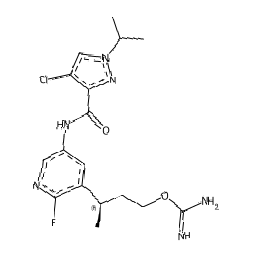 CC(C)n1cc(Cl)c(C(=O)Nc2cnc(F)c([C@H](C)CCOC(=N)N)c2)n1